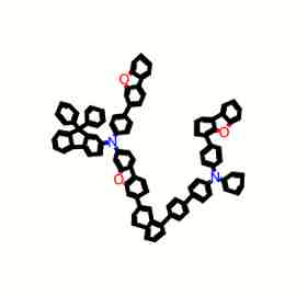 c1ccc(N(c2ccc(-c3ccc(-c4cccc5ccc(-c6ccc7c(c6)oc6cc(N(c8ccc(-c9ccc%10c(c9)oc9ccccc9%10)cc8)c8ccc9c(c8)C(c8ccccc8)(c8ccccc8)c8ccccc8-9)ccc67)cc45)cc3)cc2)c2ccc(-c3cccc4c3oc3ccccc34)cc2)cc1